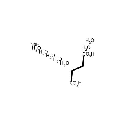 O.O.O.O.O.O.O.O=C(O)CCC(=O)O.[NaH]